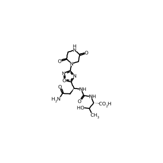 CC(O)[C@H](NC(=O)N[C@@H](CC(N)=O)c1nc(N2CC(=O)NCC2=O)no1)C(=O)O